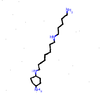 NCCCCCNCCCCCCCNC1CCC(N)CC1